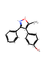 Cc1onc(-c2ccccc2)c1-c1ccc(Br)cc1